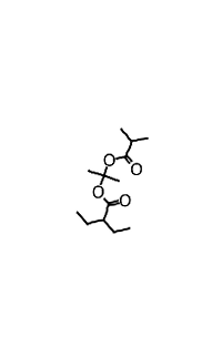 CCC(CC)C(=O)OC(C)(C)OC(=O)C(C)C